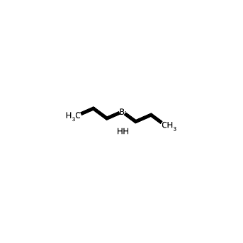 CCC[B]CCC.[HH]